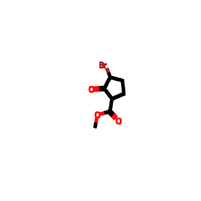 COC(=O)C1CCC(Br)C1=O